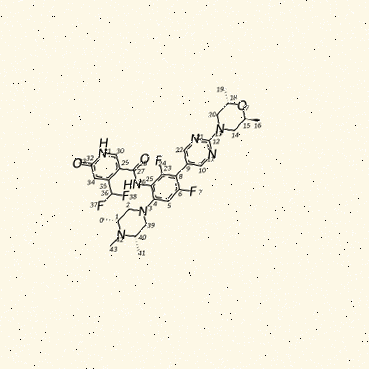 C[C@@H]1CN(c2cc(F)c(-c3cnc(N4C[C@H](C)O[C@@H](C)C4)nc3)c(F)c2NC(=O)c2c[nH]c(=O)cc2C(F)F)C[C@H](C)N1C